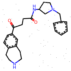 O=C(CCC(=O)c1ccc2c(c1)CCNCC2)NC1CCN(Cc2ccccc2)C1